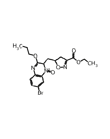 CCCOC1=Nc2ccc(Br)cc2[N+](=O)C1CC1CC(C(=O)OCC)=NO1